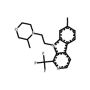 Cc1ccc2c3ccnc(C(F)(F)F)c3n(CCN3CCOCC3C)c2c1